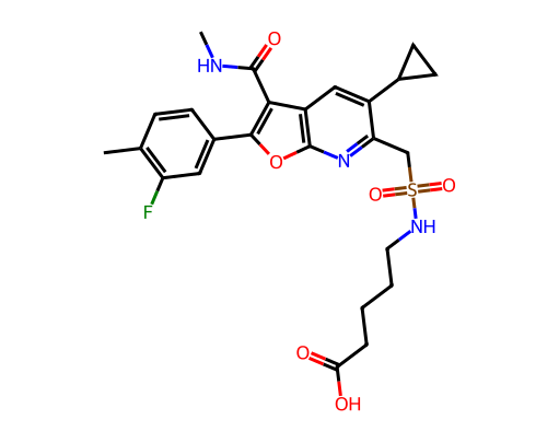 CNC(=O)c1c(-c2ccc(C)c(F)c2)oc2nc(CS(=O)(=O)NCCCCC(=O)O)c(C3CC3)cc12